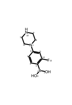 OB(O)c1ccc(N2CCNCC2)cc1F